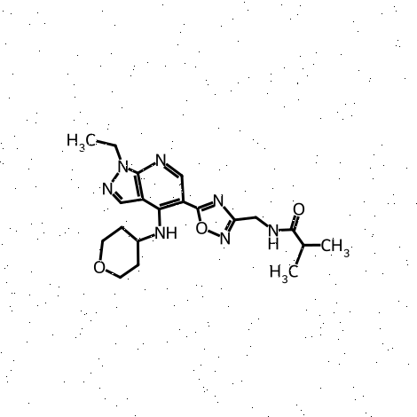 CCn1ncc2c(NC3CCOCC3)c(-c3nc(CNC(=O)C(C)C)no3)cnc21